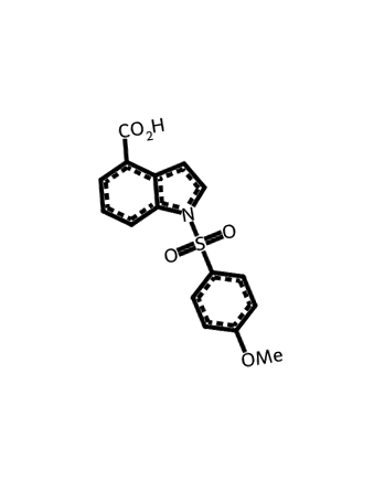 COc1ccc(S(=O)(=O)n2ccc3c(C(=O)O)cccc32)cc1